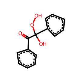 O=C(c1ccccc1)C(O)(OO)c1ccccc1